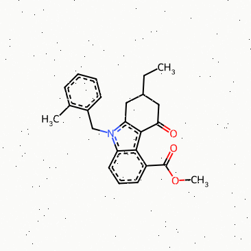 CCC1CC(=O)c2c(n(Cc3ccccc3C)c3cccc(C(=O)OC)c23)C1